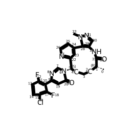 C[C@@H]1CCC[C@H](n2cnc(-c3c(F)ccc(Cl)c3F)cc2=O)c2cc(ccn2)-c2c(cnn2C)NC1=O